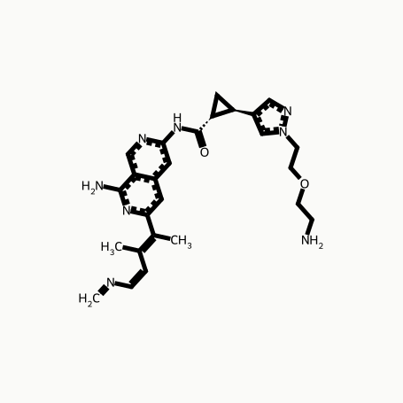 C=N/C=C\C(C)=C(/C)c1cc2cc(NC(=O)[C@@H]3C[C@H]3c3cnn(CCOCCN)c3)ncc2c(N)n1